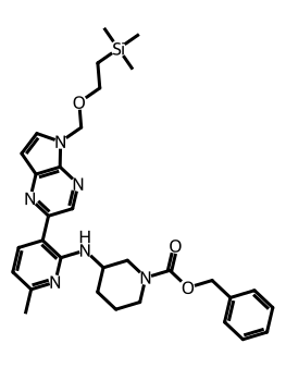 Cc1ccc(-c2cnc3c(ccn3COCC[Si](C)(C)C)n2)c(NC2CCCN(C(=O)OCc3ccccc3)C2)n1